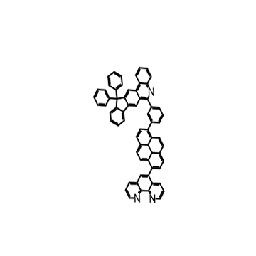 C1=CC2=C(c3cccc(-c4nc5ccccc5c5cc6c(cc45)-c4ccccc4C6(c4ccccc4)c4ccccc4)c3)C=CC3=CC=C4C(c5cc6cccnc6c6ncccc56)=CC=C1C4C32